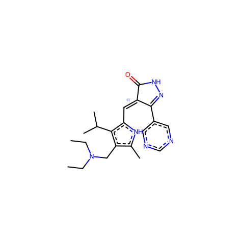 CCN(CC)Cc1c(C)[nH]c(/C=C2/C(=O)NN=C2c2cncnc2)c1C(C)C